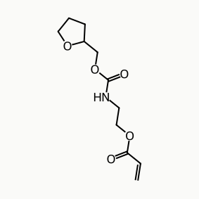 C=CC(=O)OCCNC(=O)OCC1CCCO1